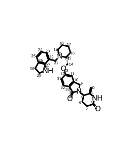 C=C1NC(=O)CCC1N1Cc2cc(OC[C@H]3CCCCN3Cc3cccc4c3NCC4)ccc2C1=O